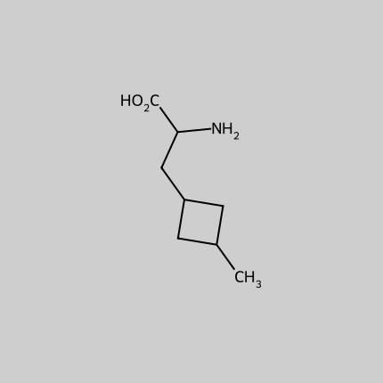 CC1CC(CC(N)C(=O)O)C1